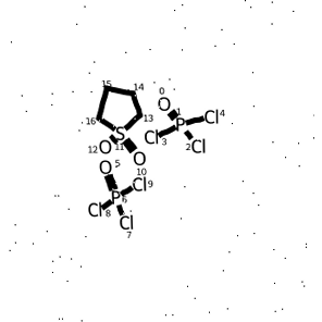 O=P(Cl)(Cl)Cl.O=P(Cl)(Cl)Cl.O=S1(=O)CCCC1